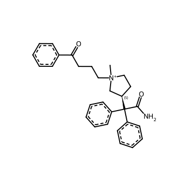 C[N+]1(CCCC(=O)c2ccccc2)CC[C@@H](C(C(N)=O)(c2ccccc2)c2ccccc2)C1